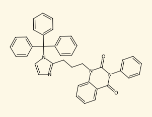 O=c1c2ccccc2n(CCCc2nccn2C(c2ccccc2)(c2ccccc2)c2ccccc2)c(=O)n1-c1ccccc1